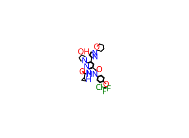 O=C(Nc1ccc(OC(F)(F)Cl)cc1)c1cc(-c2ccn(C3CCCCO3)n2)c(N2CC[C@@H](O)C2)nc1NC(=O)C1CC1